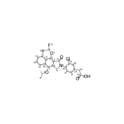 CCOc1c2c(c(OC(F)F)c3ccccc13)C(=O)N(c1ccc(CC(=O)O)cc1Cl)C2